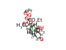 CCCOC(=O)OCC(=O)[C@@]1(OC(=O)OCC)[C@H](C)C[C@H]2[C@@H]3CCC4=CC(=O)C=C[C@]4(C)[C@@]3(Cl)C(O)C[C@@]21C